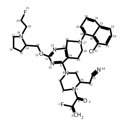 C=C(F)C(=O)N1CCN(c2nc(OCC3CCCN3CCF)nc3c2CCN(c2cccc4cccc(Cl)c24)C3)CC1CC#N